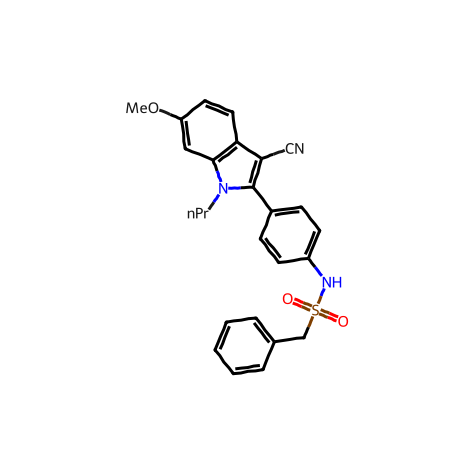 CCCn1c(-c2ccc(NS(=O)(=O)Cc3ccccc3)cc2)c(C#N)c2ccc(OC)cc21